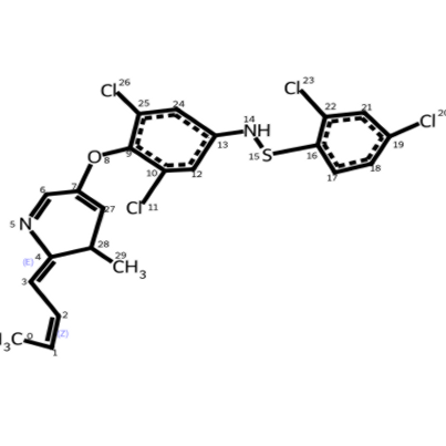 C/C=C\C=C1\N=CC(Oc2c(Cl)cc(NSc3ccc(Cl)cc3Cl)cc2Cl)=CC1C